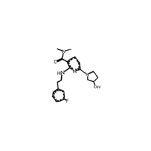 CN(C)C(=O)c1ccc(N2CCC(O)C2)nc1NCCc1cccc(F)c1